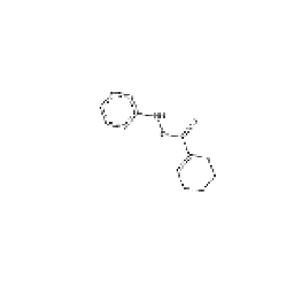 O=C(ONc1ccccc1)C1=CCCCC1